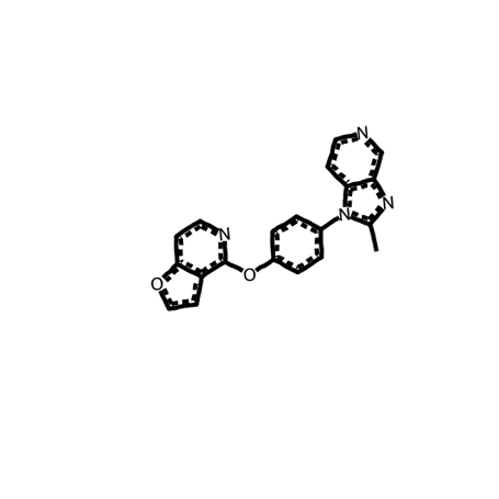 Cc1nc2cnccc2n1-c1ccc(Oc2nccc3occc23)cc1